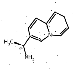 C[C@H](N)C1=CN2C=CCC=C2C=C1